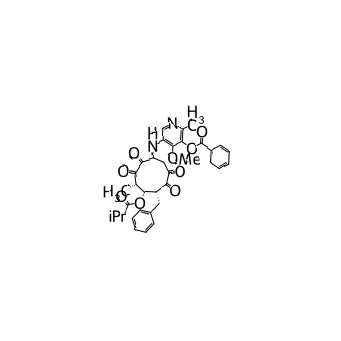 COc1c(N[C@H]2CC(=O)C(=O)[C@H](Cc3ccccc3)[C@H](OC(=O)C(C)C)[C@H](C)C(=O)C2=O)cnc(C)c1OC(=O)c1ccccc1